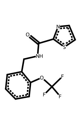 O=C(NCc1ccccc1OC(F)(F)F)c1nccs1